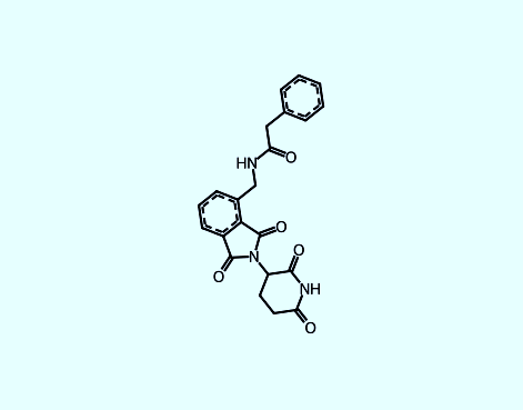 O=C(Cc1ccccc1)NCc1cccc2c1C(=O)N(C1CCC(=O)NC1=O)C2=O